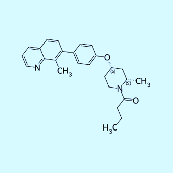 CCCC(=O)N1CC[C@H](Oc2ccc(-c3ccc4cccnc4c3C)cc2)C[C@@H]1C